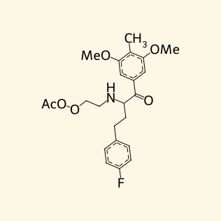 COc1cc(C(=O)C(CCc2ccc(F)cc2)NCCOOC(C)=O)cc(OC)c1C